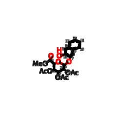 COC(=O)C1OC(Oc2cc3ccccc3cc2O)C(OC(C)=O)C(OC(C)=O)C1OC(C)=O